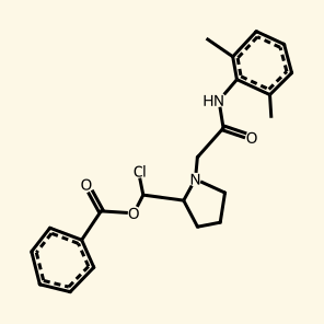 Cc1cccc(C)c1NC(=O)CN1CCCC1C(Cl)OC(=O)c1ccccc1